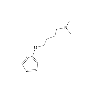 CN(C)CCCCOc1ccccn1